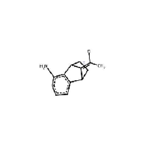 C/C(Cl)=C1\C2CCC1c1c(N)cccc12